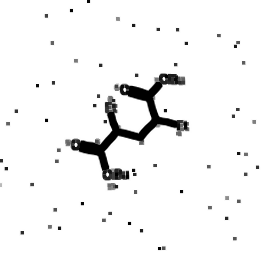 CCC(CC(CC)C(=O)OCC(C)C)C(=O)OCC(C)C